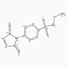 CCOS(=O)(=O)c1ccc(N2C(=O)C=CC2=O)cc1